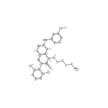 COc1cccc(Nc2ncc3cc(-c4c(Cl)cccc4Cl)c(=O)n(OCCCCN)c3n2)c1